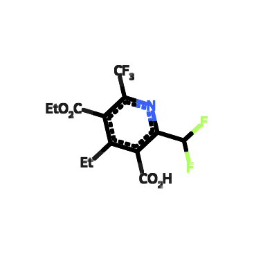 CCOC(=O)c1c(C(F)(F)F)nc(C(F)F)c(C(=O)O)c1CC